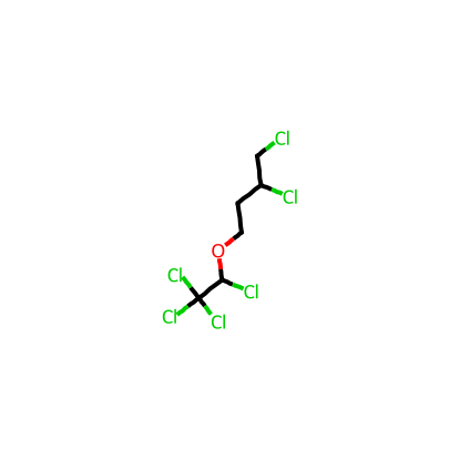 ClCC(Cl)CCOC(Cl)C(Cl)(Cl)Cl